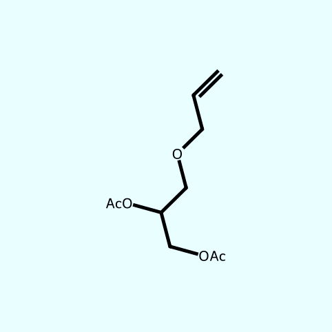 C=CCOCC(COC(C)=O)OC(C)=O